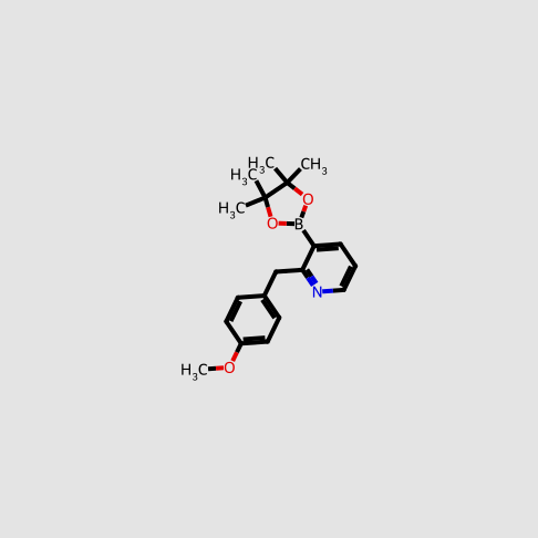 COc1ccc(Cc2ncccc2B2OC(C)(C)C(C)(C)O2)cc1